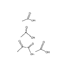 C=C(C)C(=O)O.CC(=O)O.CC(=O)O.CC(=O)O